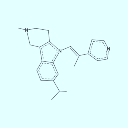 CC(=Cn1c2c(c3ccc(C(C)C)cc31)CN(C)CC2)c1ccncc1